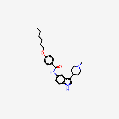 CCCCCCOc1ccc(C(=O)Nc2ccc3[nH]cc(C4CCN(C)CC4)c3c2)cc1